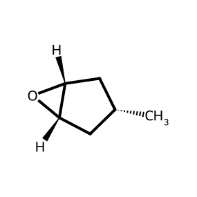 C[C@@H]1C[C@@H]2O[C@@H]2C1